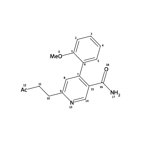 COc1ccccc1-c1cc(CCC(C)=O)ncc1C(N)=O